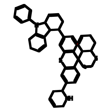 C1=CC2=C(CC1)N(c1ccccc1)C1C=CCC(c3ccc4c(c3)Sc3cc(C5CC=CCN5)ccc3C43C4=CCCCC4SC4CCC=CC43)C21